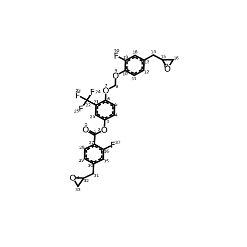 O=C(Oc1ccc(OCOc2ccc(CC3CO3)cc2F)c(C(F)(F)F)c1)c1ccc(CC2CO2)cc1F